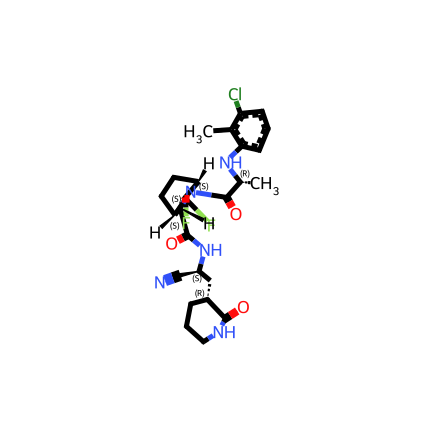 Cc1c(Cl)cccc1N[C@H](C)C(=O)N1[C@H]2CC[C@@H]([C@H]1C(=O)N[C@H](C#N)C[C@H]1CCCNC1=O)C(F)(F)C2